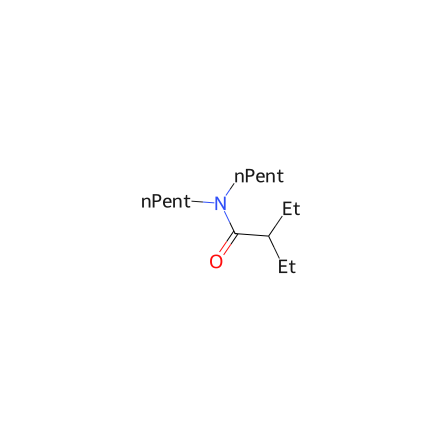 [CH2]CC(CC)C(=O)N(CCCCC)CCCCC